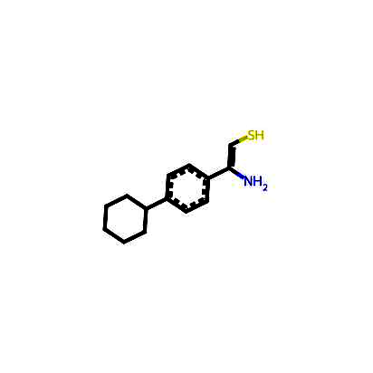 N/C(=C\S)c1ccc(C2CCCCC2)cc1